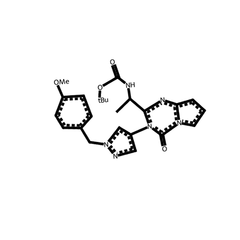 COc1ccc(Cn2cc(-n3c(C(C)NC(=O)OC(C)(C)C)nc4cccn4c3=O)cn2)cc1